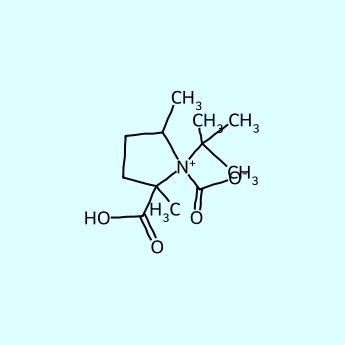 CC1CCC(C)(C(=O)O)[N+]1(C(=O)[O-])C(C)(C)C